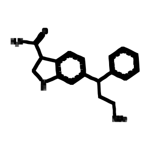 CNCCC(c1ccccc1)c1ccc2c(c1)NCC2C(N)=O